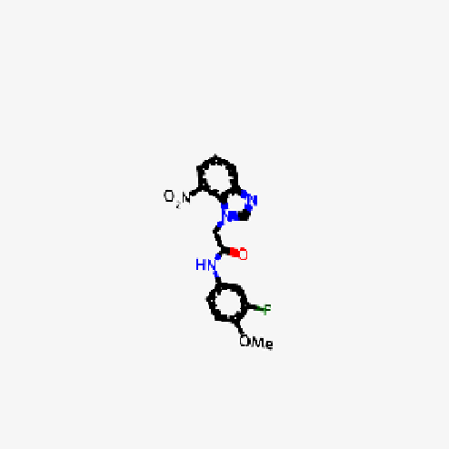 COc1ccc(NC(=O)Cn2cnc3cccc([N+](=O)[O-])c32)cc1F